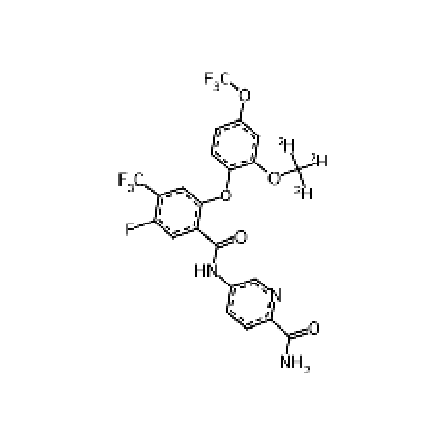 [2H]C([2H])([2H])Oc1cc(OC(F)(F)F)ccc1Oc1cc(C(F)(F)F)c(F)cc1C(=O)Nc1ccc(C(N)=O)nc1